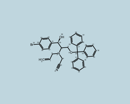 C=CCN(CC#N)C(COC(c1ccccc1)(c1ccccc1)c1ccccc1)[C@H](O)c1ccc(Br)cc1